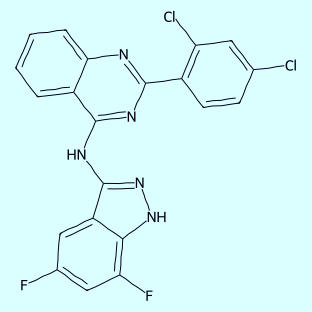 Fc1cc(F)c2[nH]nc(Nc3nc(-c4ccc(Cl)cc4Cl)nc4ccccc34)c2c1